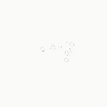 COCN(c1nc(OC[C@@H](CC(C)(C)C)NCc2ncc(OCc3ccccc3)cn2)cc(-c2c(C)cccc2C)n1)S(=O)(=O)c1cccc(C(C)=O)c1